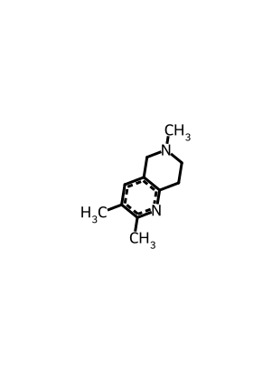 Cc1cc2c(nc1C)CCN(C)C2